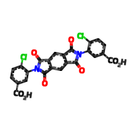 O=C(O)c1ccc(Cl)c(-n2c(=O)c3cc4c(=O)n(-c5cc(C(=O)O)ccc5Cl)c(=O)c4cc3c2=O)c1